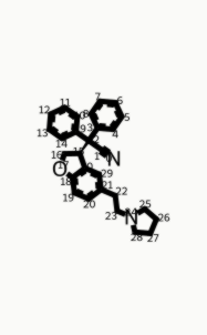 N#CC(c1ccccc1)(c1ccccc1)[C@@H]1COc2ccc(CCN3CCCC3)cc21